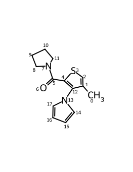 Cc1csc(C(=O)N2CCCC2)c1-n1cccc1